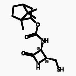 CC1(C)C2CCC1(C)C(OC(=O)N[C@@H]1C(=O)N[C@@H]1CS)C2